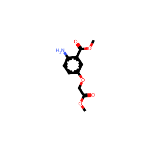 COC(=O)COc1ccc(N)c(C(=O)OC)c1